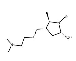 CC(C)N1[C@H](C)[C@@H](COCCN(C)C)C[C@H]1C(C)(C)C